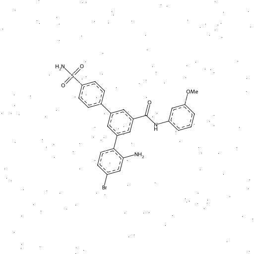 COc1cccc(NC(=O)c2cc(-c3ccc(S(N)(=O)=O)cc3)cc(-c3ccc(Br)cc3N)c2)c1